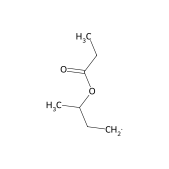 [CH2]CC(C)OC(=O)CC